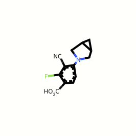 N#Cc1c(N2CC3CC3C2)ccc(C(=O)O)c1F